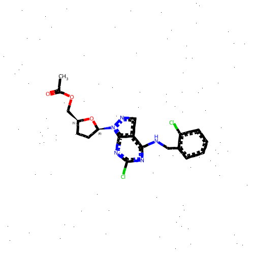 CC(=O)OC[C@@H]1CC[C@H](n2ncc3c(NCc4ccccc4Cl)nc(Cl)nc32)O1